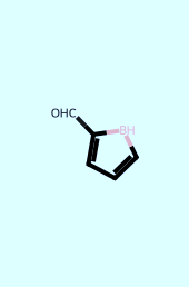 O=CC1=CC=CB1